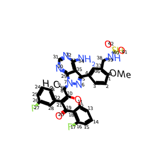 COc1ccc(-c2nn([C@@H](C)c3oc4cccc(F)c4c(=O)c3-c3cccc(F)c3)c3ncnc(N)c23)cc1CN[SH](=O)=O